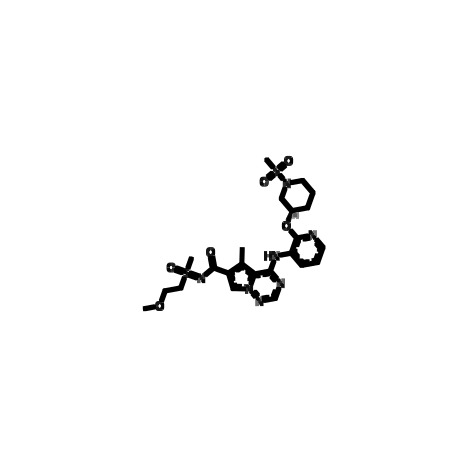 COCCS(C)(=O)=NC(=O)c1cn2ncnc(Nc3cccnc3O[C@@H]3CCCN(S(C)(=O)=O)C3)c2c1C